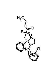 CCOC(=O)C(F)(F)C[C@]1(c2ccccc2OC)C(=O)C=C[C@H]1Nc1ccccc1Cl